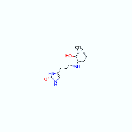 Cc1cccc(NCCCc2c[nH]c(=O)[nH]2)c1O